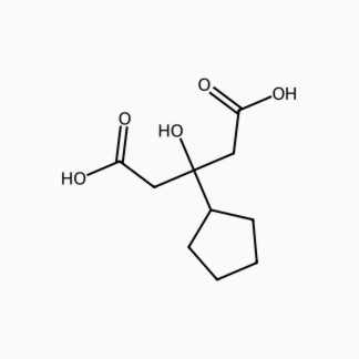 O=C(O)CC(O)(CC(=O)O)C1CCCC1